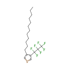 CCCCCCCCCCCCc1cscc1C(F)(F)C(F)(F)C(F)(F)F